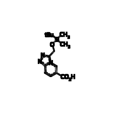 CC(C)(C)[Si](C)(C)OCc1nnc2ccc(C(=O)O)cn12